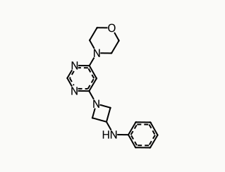 c1ccc(NC2CN(c3cc(N4CCOCC4)ncn3)C2)cc1